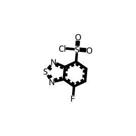 O=S(=O)(Cl)c1ccc(F)c2nsnc12